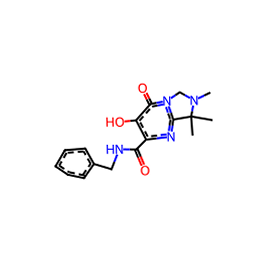 CN1Cn2c(nc(C(=O)NCc3ccccc3)c(O)c2=O)C1(C)C